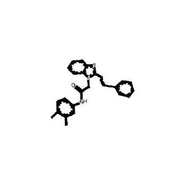 Cc1ccc(NC(=O)Cn2c(/C=C/c3ccccc3)nc3ccccc32)cc1C